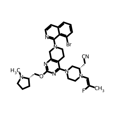 CC(F)=CN1CCN(c2nc(OC[C@@H]3CCCN3C)nc3c2CCN(c2nccc4cccc(Br)c24)C3)C[C@@H]1CC#N